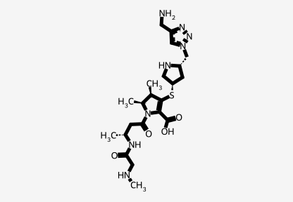 CNCC(=O)N[C@H](C)CC(=O)N1C(C(=O)O)=C(S[C@@H]2CN[C@H](Cn3cc(CN)nn3)C2)[C@H](C)[C@@H]1C